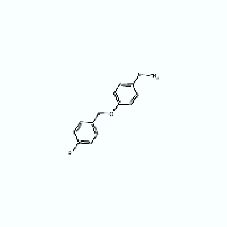 CSc1ccc(OCc2ccc(Br)cc2)cc1